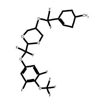 CC1CC=C(C(F)(F)OC2COC(C(F)(F)Oc3cc(F)c(OC(F)(F)F)c(F)c3)OC2)CC1